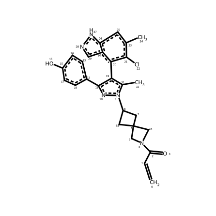 C=CC(=O)N1CC2(CC(n3nc(-c4ccc(O)cc4)c(-c4c(Cl)c(C)cc5[nH]ncc45)c3C)C2)C1